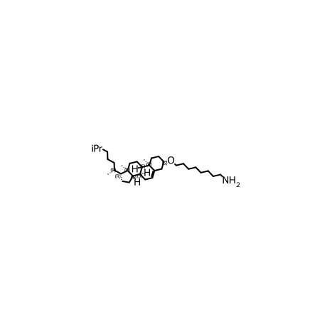 CC(C)CCC[C@@H](C)[C@H]1CC[C@H]2[C@@H]3CC=C4C[C@@H](OCCCCCCCCN)CC[C@]4(C)[C@H]3CC[C@]12C